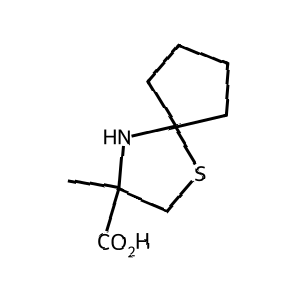 CC1(C(=O)O)CSC2(CCCC2)N1